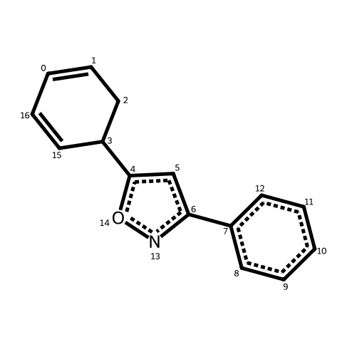 C1=CCC(c2cc(-c3ccccc3)no2)C=C1